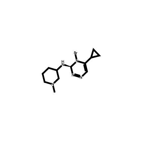 CN1CCCC(N[C@@H]2N=NC=C(C3CC3)N2Br)C1